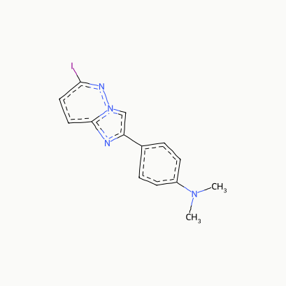 CN(C)c1ccc(-c2cn3nc(I)ccc3n2)cc1